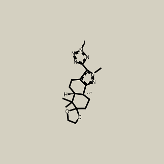 Cn1nc2c(c1-c1nnn(I)n1)CC[C@H]1C(C)(C)C3(CC[C@]21C)OCCO3